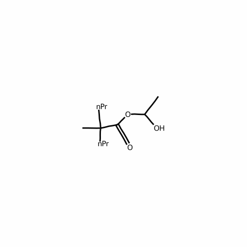 CCCC(C)(CCC)C(=O)OC(C)O